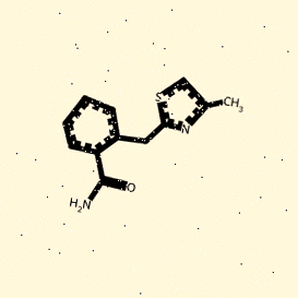 Cc1csc(Cc2ccccc2C(N)=O)n1